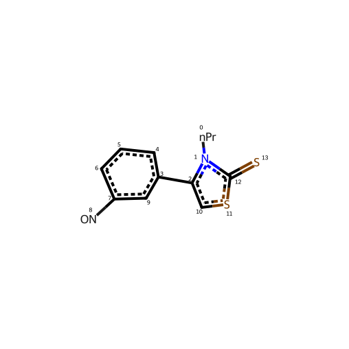 CCCn1c(-c2cccc(N=O)c2)csc1=S